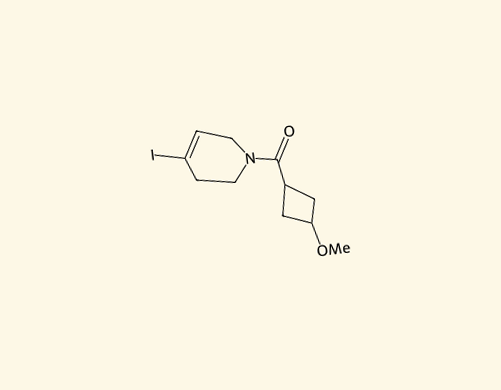 COC1CC(C(=O)N2CC=C(I)CC2)C1